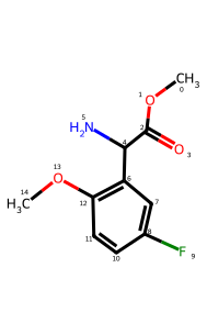 COC(=O)C(N)c1cc(F)ccc1OC